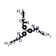 CCOCCOC(=O)/C(C#N)=C/c1ccc(N(c2ccc(/C=C(\C#N)C(=O)OCCOCC)cc2)c2ccc(/C=C(\C#N)C(=O)OCCOCC)cc2)cc1